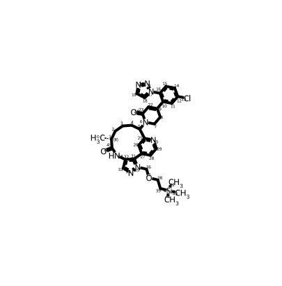 C[C@@H]1CCCC(N2CCC(c3cc(Cl)ccc3-n3ccnn3)=CC2=O)c2cc(ccn2)-c2c(cnn2COCC[Si](C)(C)C)NC1=O